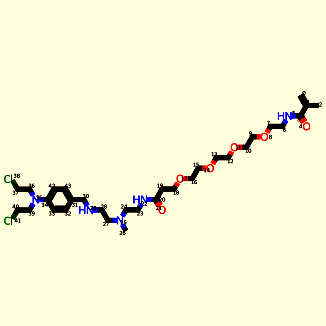 C=C(C)C(=O)NCCOCCOCCOCCOCCC(=O)NCCN(C)CCNCc1ccc(N(CCCl)CCCl)cc1